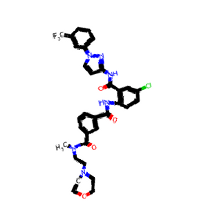 CN(CCN1CCOCC1)C(=O)c1cccc(C(=O)Nc2ccc(Cl)cc2C(=O)Nc2ccn(-c3cccc(C(F)(F)F)c3)n2)c1